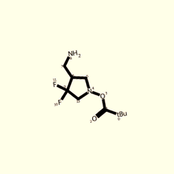 CC(C)(C)C(=O)ON1CC(CN)C(F)(F)C1